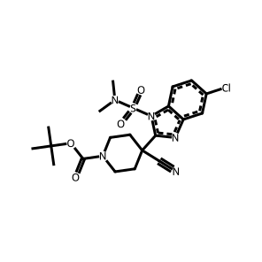 CN(C)S(=O)(=O)n1c(C2(C#N)CCN(C(=O)OC(C)(C)C)CC2)nc2cc(Cl)ccc21